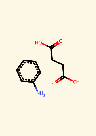 Nc1ccccc1.O=C(O)CCC(=O)O